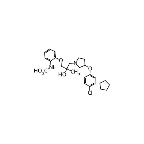 C1CCCC1.CC(O)(COc1ccccc1NC(=O)O)CN1CCC(Oc2ccc(Cl)cc2)C1